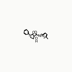 Cc1ccc(CNC(=O)[C@@]2(O)CCN(c3ccccc3)C2=O)s1